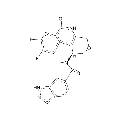 CN(C(=O)c1ccc2cn[nH]c2c1)[C@@H]1COCc2[nH]c(=O)c3cc(F)c(F)cc3c21